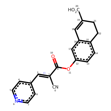 N#C/C(=C\c1ccncc1)C(=O)Oc1ccc2c(c1)C=C(C(=O)O)CC2